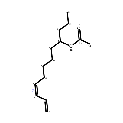 C=C/C=C\CCCCC(CCC)OC(C)=O